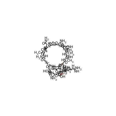 CCC(C)C1NC(=O)C(CCC(N)=O)NC(=O)C2CCCN2C(=O)C(CC(N)=O)NC(=O)C(Cc2c[nH]cn2)NC(=O)C(C(C)C)NC(=O)C(C(C)O)NC(=O)C2CSSCC(NC(=O)C3CCCN3C(=O)C(CC(=O)O)NC(=O)C(N)CCCNC(=N)N)C(=O)NC(CSSCC(C(N)=O)NC1=O)C(=O)NC(CO)C(=O)NC(CC(N)=O)C(=O)N1CCCC1C(=O)NC(C(C)C)C(=O)N2